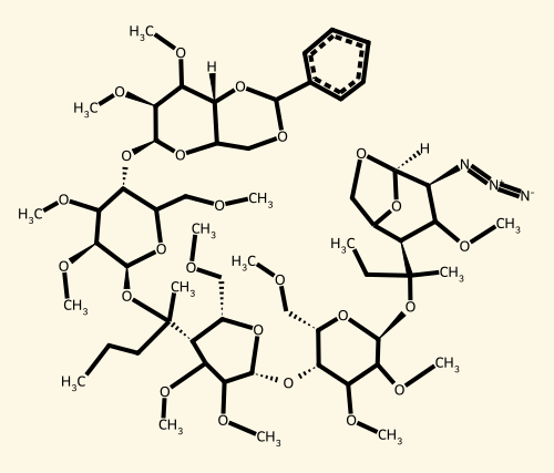 CCCC(C)(O[C@@H]1OC(COC)[C@@H](O[C@@H]2OC3COC(c4ccccc4)O[C@H]3C(OC)[C@@H]2OC)C(OC)[C@@H]1OC)[C@H]1C(OC)C(OC)[C@@H](O[C@H]2C(OC)C(OC)[C@H](OC(C)(CC)[C@H]3C4CO[C@H](O4)[C@@H](N=[N+]=[N-])C3OC)O[C@H]2COC)O[C@H]1COC